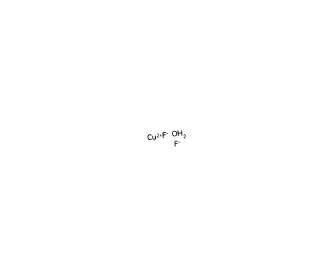 O.[Cu+2].[F-].[F-]